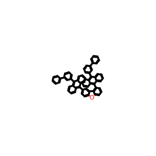 c1ccc(-c2cccc(-c3c4ccccc4c(-c4ccc5oc6cccc(-c7c8ccccc8c(-c8cccc(-c9ccccc9)c8)c8ccccc78)c6c5c4)c4ccccc34)c2)cc1